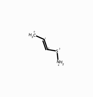 C/C=C/SN